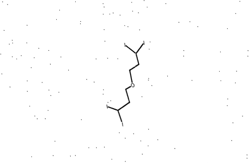 IC(I)CCOCCC(I)I